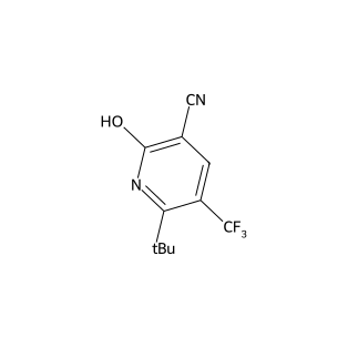 CC(C)(C)c1nc(O)c(C#N)cc1C(F)(F)F